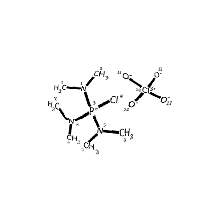 CN(C)[P+](Cl)(N(C)C)N(C)C.[O-][Cl+3]([O-])([O-])[O-]